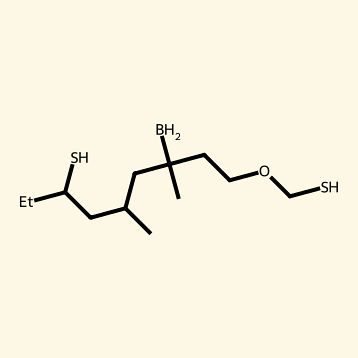 BC(C)(CCOCS)CC(C)CC(S)CC